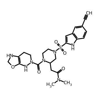 C#Cc1ccc2[nH]c(S(=O)(=O)N3CCN(C(=O)N4CCC5=C(N4)OCN5)C(CC(=O)N(C)C)C3)cc2c1